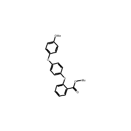 CCCCOC(=O)c1ccccc1Sc1ccc(Oc2ccc(OC)cc2)cc1